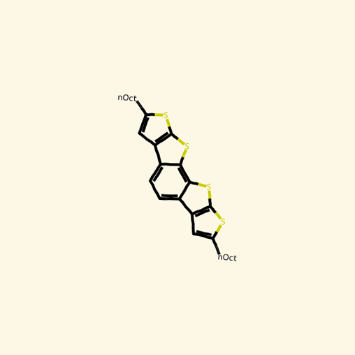 CCCCCCCCc1cc2c(s1)sc1c2ccc2c3cc(CCCCCCCC)sc3sc21